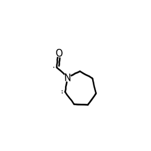 O=[C]N1[C]CCCCC1